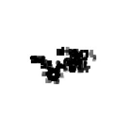 CCCCCCC(C)(CC)OP(=O)(OCCc1ccccc1SSC(C)(C)C)OC(C)C